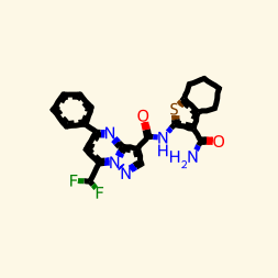 NC(=O)c1c(NC(=O)c2cnn3c(C(F)F)cc(-c4ccccc4)nc23)sc2c1CCCC2